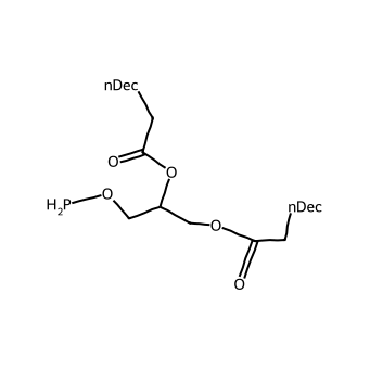 CCCCCCCCCCCC(=O)OCC(COP)OC(=O)CCCCCCCCCCC